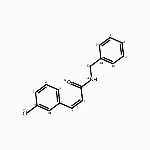 O=C(/C=C\c1cccc(Cl)c1)NCc1ccccc1